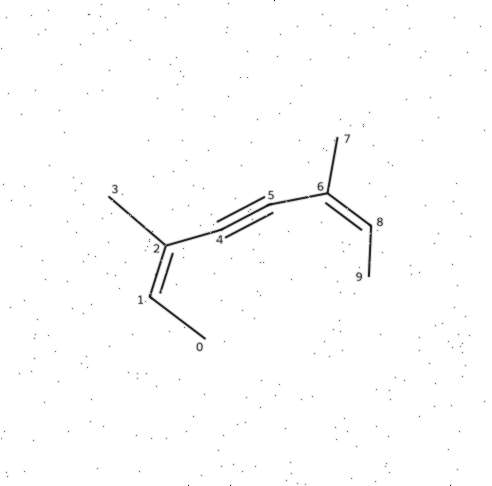 CC=C(C)C#CC(C)=CC